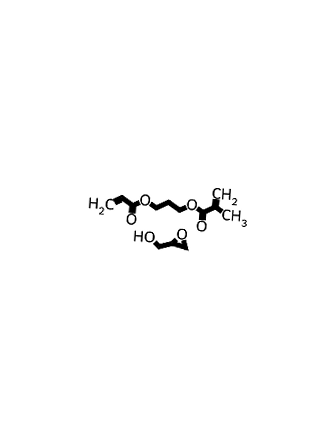 C=CC(=O)OCCCOC(=O)C(=C)C.OCC1CO1